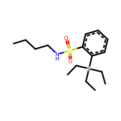 CCCCNS(=O)(=O)c1ccccc1[Si](CC)(CC)CC